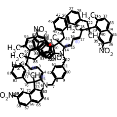 C=C(/C=C/C=C1/N(Cc2ccc(CN3/C(=C/C=C/C(=C)C(C)(Cc4ccccc4)c4c(C)ccc5ccc([N+](=O)[O-])cc45)C(C)(Cc4ccccc4)c4c3ccc3ccc([N+](=O)[O-])cc43)cc2)c2ccc3ccc([N+](=O)[O-])cc3c2C1(C)Cc1ccccc1)C(C)(Cc1ccccc1)c1c(C)ccc2ccc([N+](=O)[O-])cc12